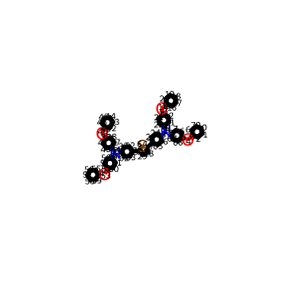 c1ccc(Oc2ccc(N(c3ccc(Oc4ccccc4)cc3)c3ccc(-c4ccc(-c5ccc(N(c6ccc(Oc7ccccc7)cc6)c6ccc(Oc7ccccc7)cc6)cc5)s4)cc3)cc2)cc1